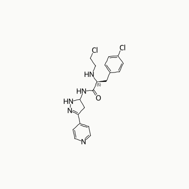 O=C(NC1CC(c2ccncc2)=NN1)[C@H](Cc1ccc(Cl)cc1)NCCCl